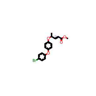 COC(=O)/C=C/C(C)Oc1ccc(Oc2ccc(Br)cc2)cc1